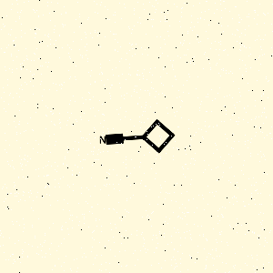 N#C[C]1CCC1